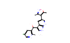 COc1ncc(F)cc1C(O)c1c[nH]c2ncc(-c3c(C)noc3C)cc12